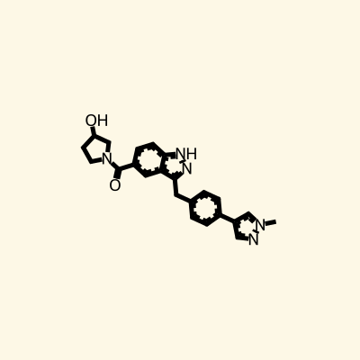 Cn1cc(-c2ccc(Cc3n[nH]c4ccc(C(=O)N5CCC(O)C5)cc34)cc2)cn1